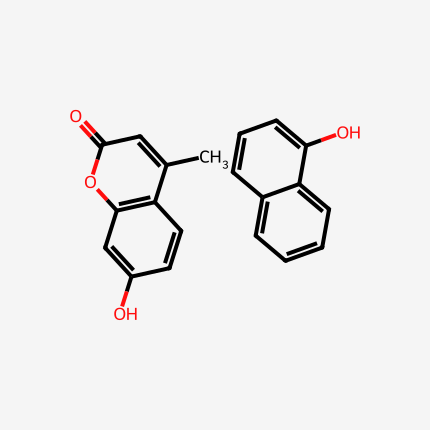 Cc1cc(=O)oc2cc(O)ccc12.Oc1cccc2ccccc12